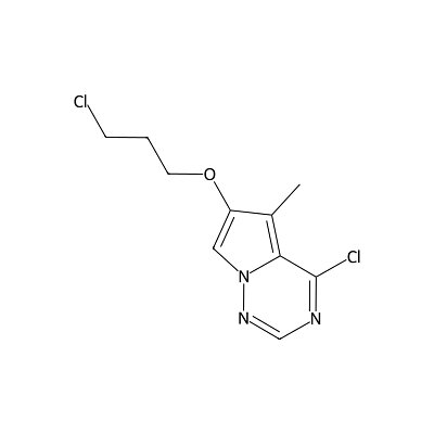 Cc1c(OCCCCl)cn2ncnc(Cl)c12